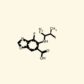 CC(Nc1c(C(=O)O)cc2ocnc2c1F)[C@@H](C)I